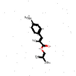 CCCCC(CC)COC(=O)/C(C#N)=C/c1ccc(NC(C)=O)cc1